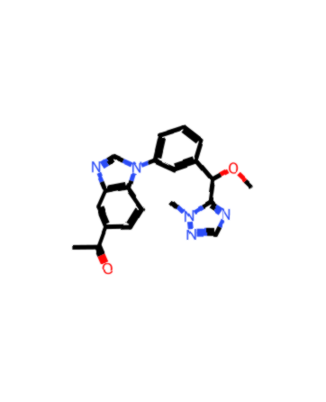 COC(c1cccc(-n2cnc3cc(C(C)=O)ccc32)c1)c1ncnn1C